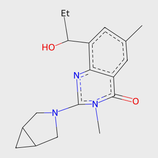 CCC(O)c1cc(C)cc2c(=O)n(C)c(N3CC4CC4C3)nc12